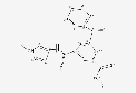 CNC(=O)c1cc(C(=O)Nc2cnn(C)c2)cc([C@@H](C)c2ccccc2)n1